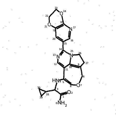 NC(=O)C(NC1=COCC2=C3C1=CN=C(c1cnc4c(c1)OCCO4)N3CC2)C1CC1